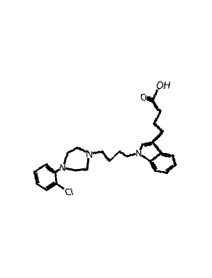 O=C(O)CCCc1cn(CCCCN2CCN(c3ccccc3Cl)CC2)c2ccccc12